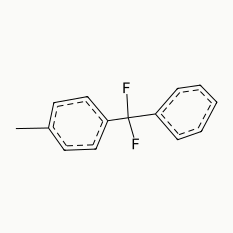 Cc1ccc(C(F)(F)c2ccccc2)cc1